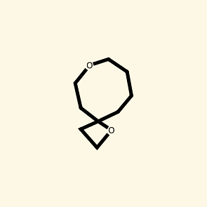 C1CCC2(CCOC1)CCO2